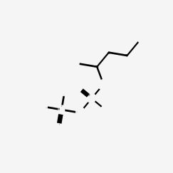 CCCC(C)OP(=O)(O)OP(=O)(O)O